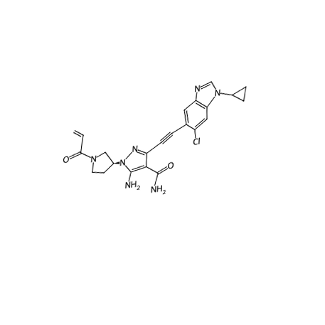 C=CC(=O)N1CC[C@H](n2nc(C#Cc3cc4ncn(C5CC5)c4cc3Cl)c(C(N)=O)c2N)C1